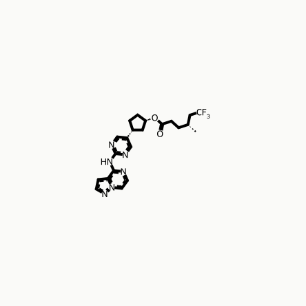 C[C@H](CCC(=O)O[C@H]1CC[C@@H](c2cnc(Nc3nccn4nccc34)nc2)C1)CC(F)(F)F